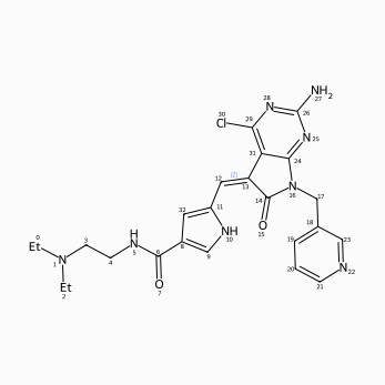 CCN(CC)CCNC(=O)c1c[nH]c(/C=C2\C(=O)N(Cc3cccnc3)c3nc(N)nc(Cl)c32)c1